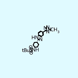 Cn1nnc(-c2ccc3[nH]c([C@H]4CC[C@H](NS(=O)(=O)C(C)(C)C)CC4)nc3c2)n1